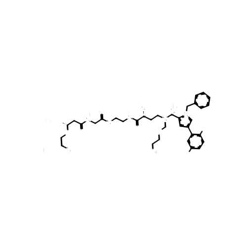 CC(C)(C)[C@H](c1cc(-c2cc(F)ccc2F)cn1Cc1ccccc1)N(CC[C@H](N)C(=O)NCCNC(=O)CNC(=O)C[C@@H](SC[C@H](N)C(=O)O)C(=O)O)COCCO